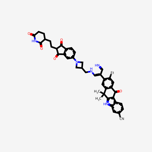 CCc1cc2c(cc1/C(C=N)=C/NCC1CN(c3ccc4c(c3)C(=O)C(CCC3CCC(=O)NC3=O)C4=O)C1)C(C)(C)c1[nH]c3cc(C#N)ccc3c1C2=O